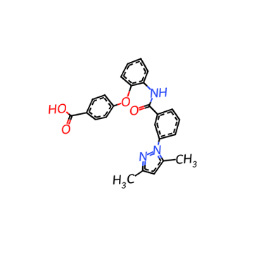 Cc1cc(C)n(-c2cccc(C(=O)Nc3ccccc3Oc3ccc(C(=O)O)cc3)c2)n1